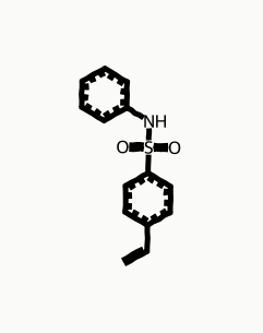 C=Cc1ccc(S(=O)(=O)Nc2ccccc2)cc1